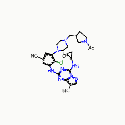 CC(=O)N1CC[C@H](CN2CCN(c3cc(C#N)cc(Nc4nc(NC5CC5)n5ncc(C#N)c5n4)c3Cl)[C@@H](C)C2)C1